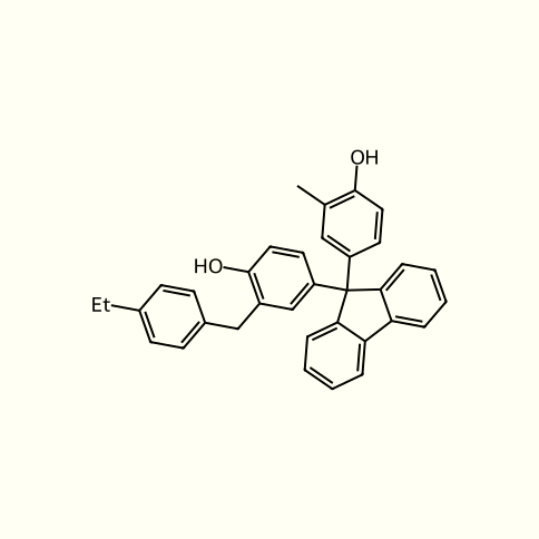 CCc1ccc(Cc2cc(C3(c4ccc(O)c(C)c4)c4ccccc4-c4ccccc43)ccc2O)cc1